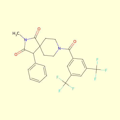 CN1C(=O)C(c2ccccc2)C2(CCN(C(=O)c3cc(C(F)(F)F)cc(C(F)(F)F)c3)CC2)C1=O